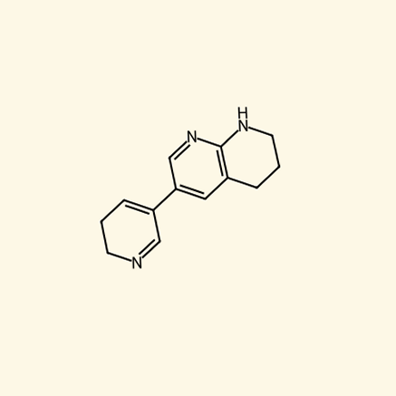 C1=NCCC=C1c1cnc2c(c1)CCCN2